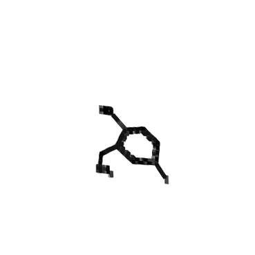 Oc1ccc(I)cc1C[SiH3]